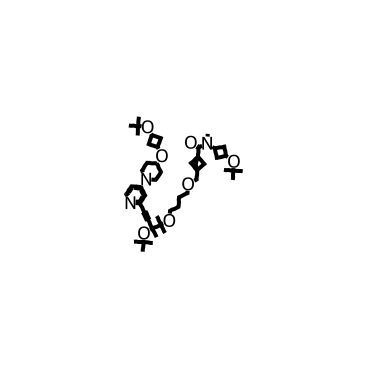 CN(C(=O)C12CC(COCCCCOC(C)(C)C(C)(C#Cc3cc(N4CCC(OC5CC(OC(C)(C)C)C5)CC4)ccn3)OC(C)(C)C)(C1)C2)C1CC(OC(C)(C)C)C1